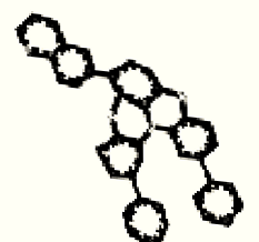 c1ccc(-c2ccc3c(c2)B2c4cc(-c5ccccc5)ccc4Oc4c(-c5ccc6ncccc6c5)ccc(c42)O3)cc1